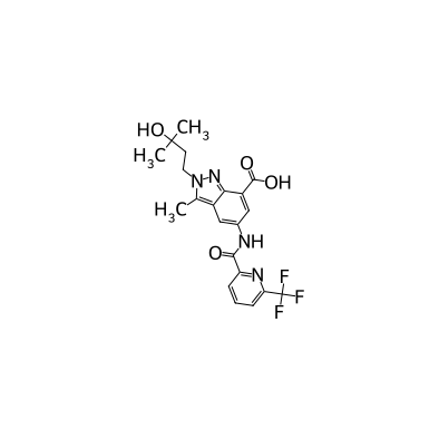 Cc1c2cc(NC(=O)c3cccc(C(F)(F)F)n3)cc(C(=O)O)c2nn1CCC(C)(C)O